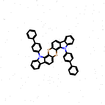 c1ccc(-c2ccc(-n3c4ccccc4c4ccc5c(c43)Sc3ccc4c6ccccc6n(-c6ccc(-c7ccccc7)cc6)c4c3S5)cc2)cc1